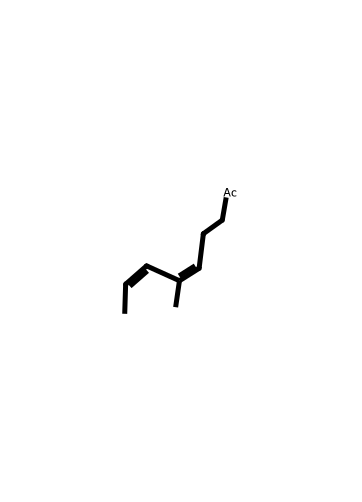 C/C=C\C(C)=C/CCC(C)=O